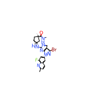 CNC(=O)[C@]1(C)CC[C@@H](Nc2ncc3c(Br)nn(-c4cc(F)c5nc(C)ccc5c4)c3n2)C1